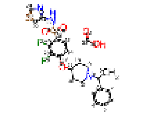 CC(c1ccccc1)N1CCC(Oc2ccc(S(=O)(=O)Nc3cscn3)c(F)c2F)CC1.O=CO